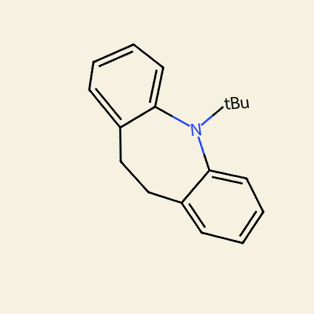 CC(C)(C)N1c2ccccc2CCc2ccccc21